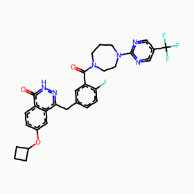 O=C(c1cc(Cc2n[nH]c(=O)c3ccc(OC4CCC4)cc23)ccc1F)N1CCCN(c2ncc(C(F)(F)F)cn2)CC1